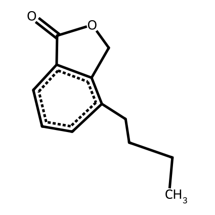 CCCCc1cccc2c1COC2=O